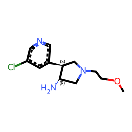 COCCN1C[C@H](c2cncc(Cl)c2)[C@@H](N)C1